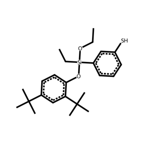 CCO[Si](CC)(Oc1ccc(C(C)(C)C)cc1C(C)(C)C)c1cccc(S)c1